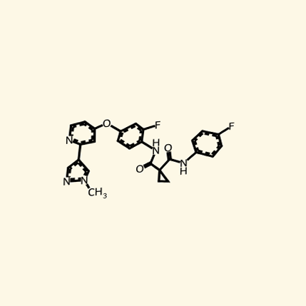 Cn1cc(-c2cc(Oc3ccc(NC(=O)C4(C(=O)Nc5ccc(F)cc5)CC4)c(F)c3)ccn2)cn1